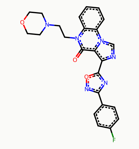 O=c1c2c(-c3nc(-c4ccc(F)cc4)no3)ncn2c2ccccc2n1CCN1CCOCC1